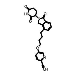 C#Cc1ccc(OCCCCc2cccc3c2CN(C2CCC(=O)NC2=O)C3=O)cn1